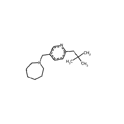 CC(C)(C)Cc1ccc(CN2CCCCCC2)cn1